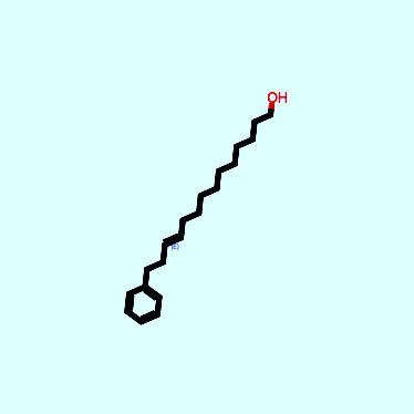 OCCCCCCCCCC/C=C/CCc1ccccc1